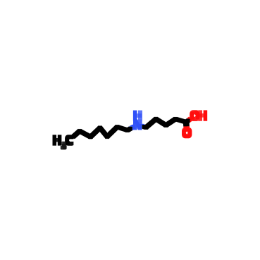 CCCCCCCNCCCCC(=O)O